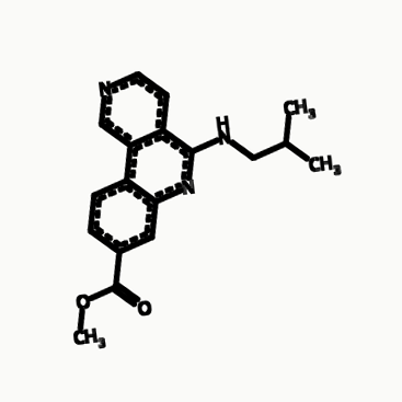 COC(=O)c1ccc2c(c1)nc(NCC(C)C)c1ccncc12